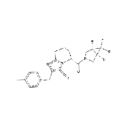 Cc1ccc(Cn2nc3n(c2=O)[C@@H](C(=O)N2C[C@@H]4[C@H](C2)C4(F)F)CCC3)cc1